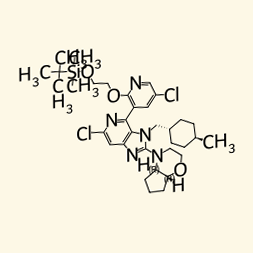 CC(C)(C)[Si](C)(C)OCCOc1ncc(Cl)cc1-c1nc(Cl)cc2nc(N3CCO[C@@H]4CCC[C@H]43)n(C[C@H]3CC[C@H](C)CC3)c12